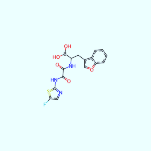 O=C(Nc1ncc(F)s1)C(=O)NC(Cc1coc2ccccc12)B(O)O